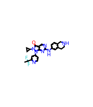 CC(F)(F)c1cc(-n2c3nc(Nc4ccc5c(c4)CCNC5)ncc3c(=O)n2C2CC2)ccn1